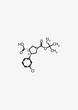 CC(C)(C)OC(=O)N1C[C@@H](C(=O)O)[C@H](c2cccc(Cl)c2)C1